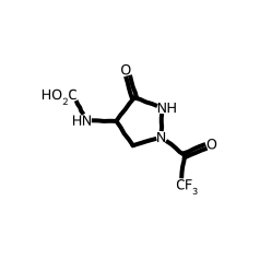 O=C(O)NC1CN(C(=O)C(F)(F)F)NC1=O